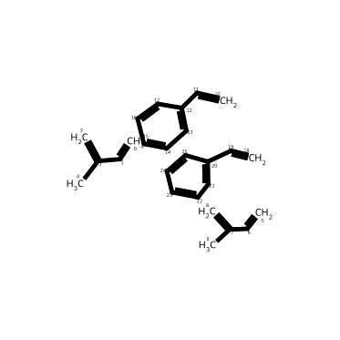 C=CC(=C)C.C=CC(=C)C.C=Cc1ccccc1.C=Cc1ccccc1